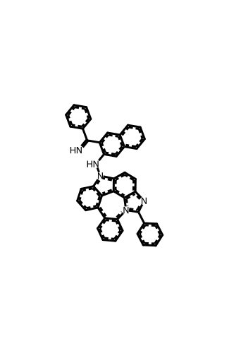 N=C(c1ccccc1)c1cc2ccccc2cc1Nn1c2cccc3c4ccccc4n4c(-c5ccccc5)nc5ccc1c(c32)c54